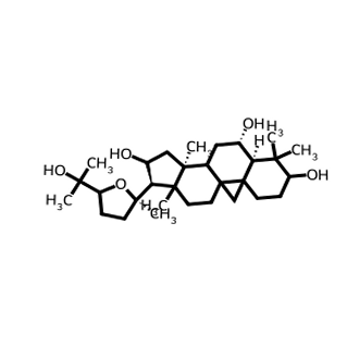 CC(C)(O)C1CC[C@](C)([C@H]2C(O)C[C@@]3(C)C4C[C@H](O)[C@H]5C(C)(C)C(O)CCC56CC46CCC23C)O1